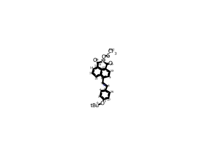 CC(C)(C)Oc1ccc(/C=C/c2ccc3c4c(cccc24)C(=O)N(OSC(F)(F)F)C3=O)cc1